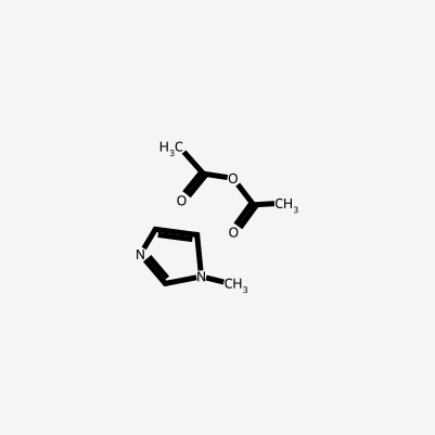 CC(=O)OC(C)=O.Cn1ccnc1